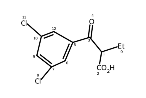 CCC(C(=O)O)C(=O)c1cc(Cl)cc(Cl)c1